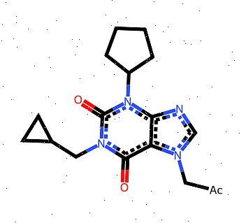 CC(=O)Cn1cnc2c1c(=O)n(CC1CC1)c(=O)n2C1CCCC1